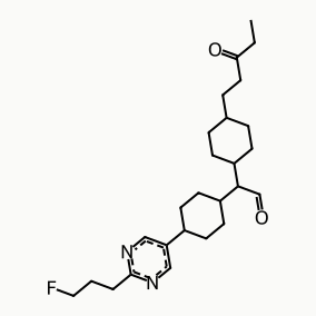 CCC(=O)CCC1CCC(C(C=O)C2CCC(c3cnc(CCCF)nc3)CC2)CC1